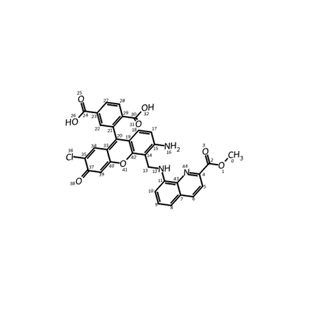 COC(=O)c1ccc2cccc(NCc3c(N)ccc4c(-c5cc(C(=O)O)ccc5C(=O)O)c5cc(Cl)c(=O)cc-5oc34)c2n1